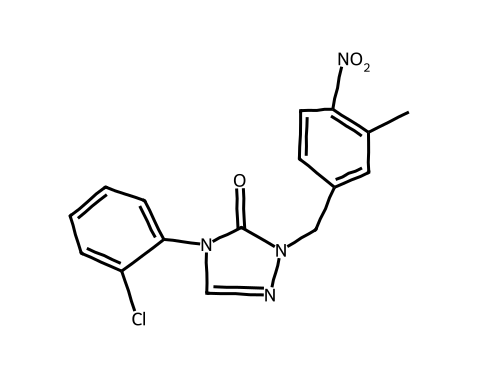 Cc1cc(Cn2ncn(-c3ccccc3Cl)c2=O)ccc1[N+](=O)[O-]